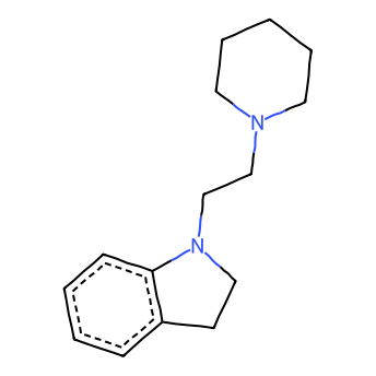 c1ccc2c(c1)CCN2CCN1CCCCC1